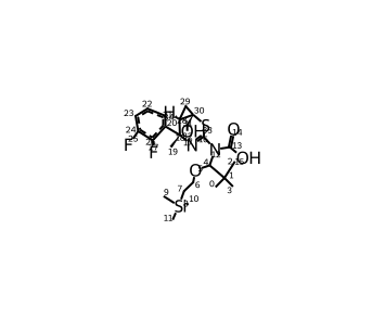 CC(C)(C)C(OCC[Si](C)(C)C)N(C(=O)O)C1=N[C@](C)(c2cccc(F)c2F)[C@@H]2C[C@]2(CO)S1